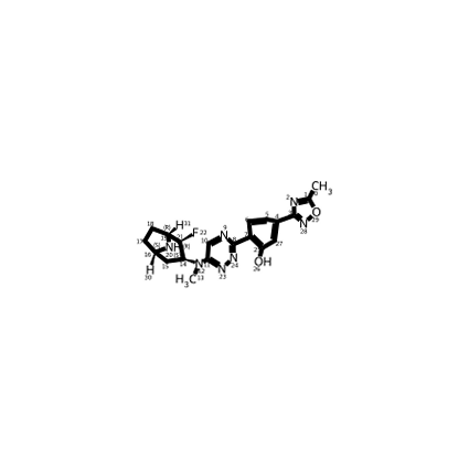 Cc1nc(-c2ccc(-c3ncc(N(C)[C@H]4C[C@@H]5CC[C@@H](N5)[C@H]4F)nn3)c(O)c2)no1